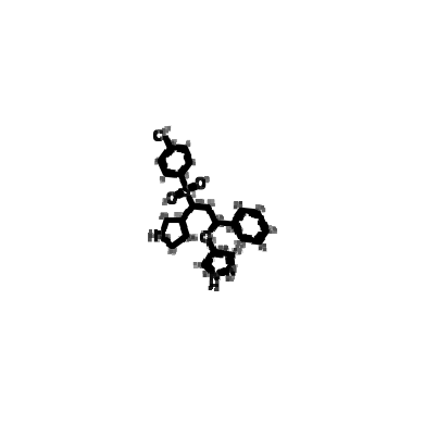 O=S(=O)(c1ccc(Cl)cc1)C(CC(Oc1cn[nH]c1)c1ccccc1)C1CCNC1